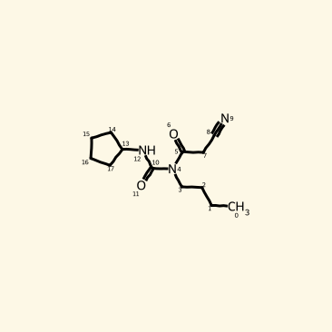 CCCCN(C(=O)CC#N)C(=O)NC1CCCC1